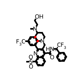 CN(CCO)C1CCN(Cc2c(-c3cccc(C(F)(F)F)c3)nc3c(S(C)(=O)=O)cccc3c2C(=O)N[C@H](c2ccccc2)C(F)(F)F)CC1